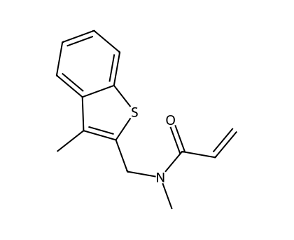 C=CC(=O)N(C)Cc1sc2ccccc2c1C